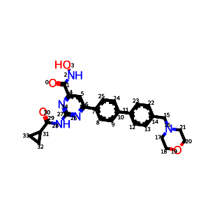 O=C(NO)c1cc(-c2ccc(-c3ccc(CN4CCOCC4)cc3)cc2)nc(NC(=O)C2CC2)n1